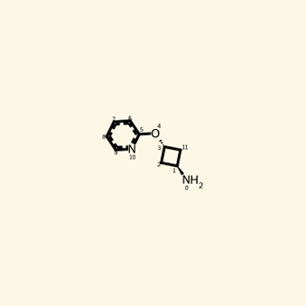 N[C@H]1C[C@H](Oc2ccccn2)C1